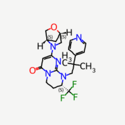 CC(C)(CN1c2nc(N3C[C@@H]4C[C@H]3CO4)cc(=O)n2CC[C@H]1C(F)(F)F)c1ccncc1